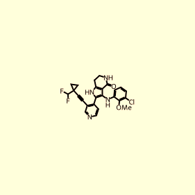 COc1c(Cl)cccc1Nc1c(-c2ccncc2C#CC2(C(F)F)CC2)[nH]c2c1C(=O)NCC2